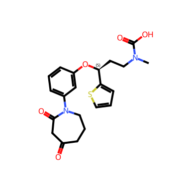 CN(CC[C@H](Oc1cccc(N2CCCC(=O)CC2=O)c1)c1cccs1)C(=O)O